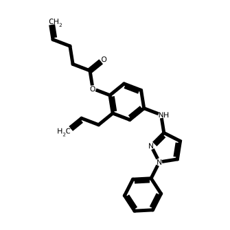 C=CCCC(=O)Oc1ccc(Nc2ccn(-c3ccccc3)n2)cc1CC=C